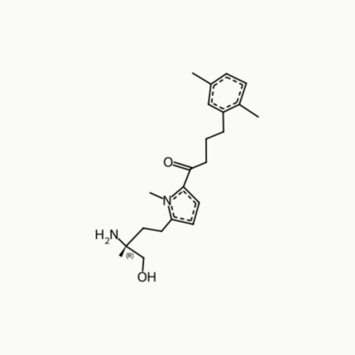 Cc1ccc(C)c(CCCC(=O)c2ccc(CC[C@@](C)(N)CO)n2C)c1